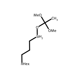 CCCCCCCCC[SiH2]OC(C)(OC)OC